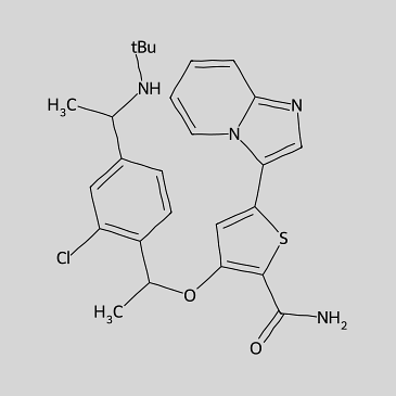 CC(NC(C)(C)C)c1ccc(C(C)Oc2cc(-c3cnc4ccccn34)sc2C(N)=O)c(Cl)c1